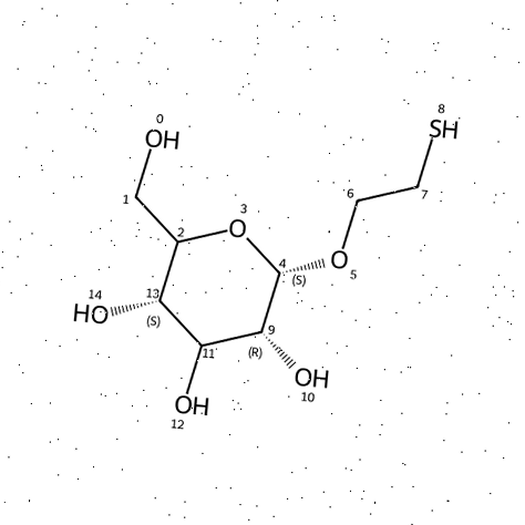 OCC1O[C@H](OCCS)[C@H](O)C(O)[C@@H]1O